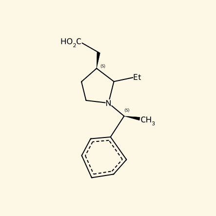 CCC1[C@H](CC(=O)O)CCN1[C@@H](C)c1ccccc1